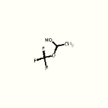 [CH2]C(O)OC(F)(F)F